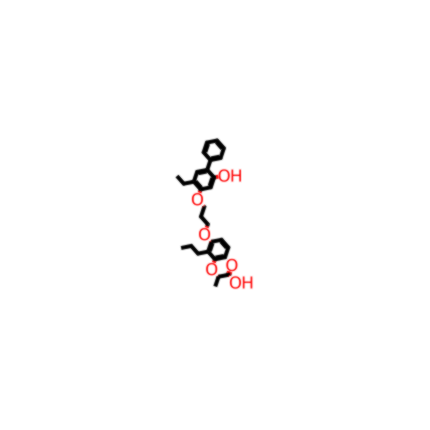 CCCc1c(OCCCOc2cc(O)c(-c3ccccc3)cc2CC)cccc1OC(C)C(=O)O